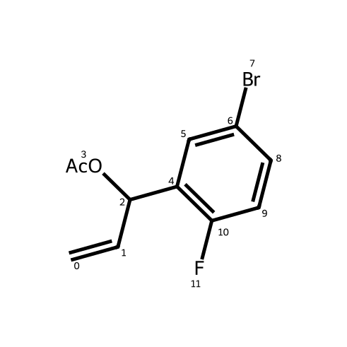 C=CC(OC(C)=O)c1cc(Br)ccc1F